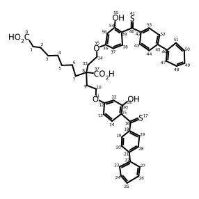 O=C(O)CCCCCCCC(CCOc1ccc(C(=S)c2ccc(-c3ccccc3)cc2)c(O)c1)(CCOc1ccc(C(=S)c2ccc(-c3ccccc3)cc2)c(O)c1)C(=O)O